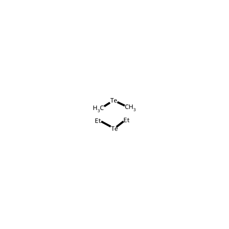 CC[Te]CC.C[Te]C